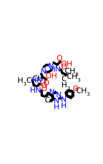 COc1ccc(NC(=NC#N)Nc2ccc(CC(=O)NC(CC(C)C)C(=O)NC(CN3CCN(CC(NC(=O)CC(C)(C)C)C(=O)O)CC3)C(=O)O)cc2)cc1